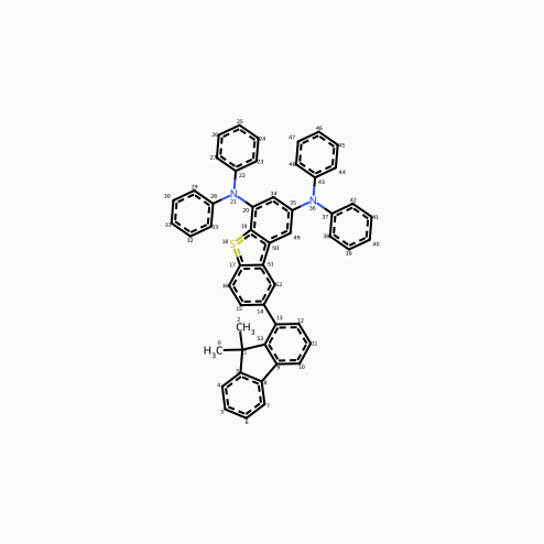 CC1(C)c2ccccc2-c2cccc(-c3ccc4sc5c(N(c6ccccc6)c6ccccc6)cc(N(c6ccccc6)c6ccccc6)cc5c4c3)c21